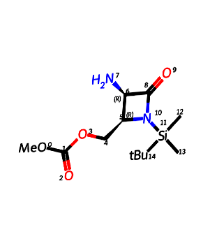 COC(=O)OC[C@H]1[C@@H](N)C(=O)N1[Si](C)(C)C(C)(C)C